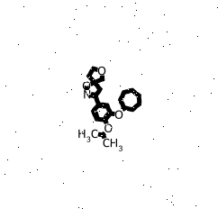 CC(C)Oc1ccc(C2=NOC3(CCOC3)C2)cc1OC1CCCCCC1